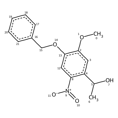 COc1cc(C(C)O)c([N+](=O)[O-])cc1OCc1ccccc1